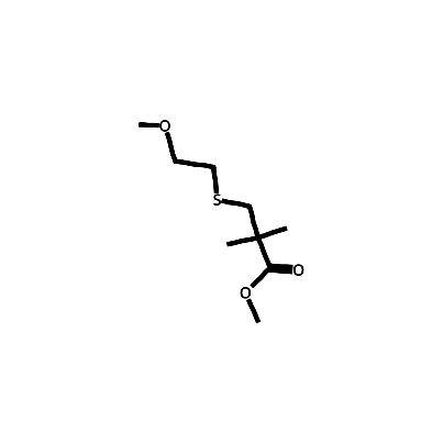 COCCSCC(C)(C)C(=O)OC